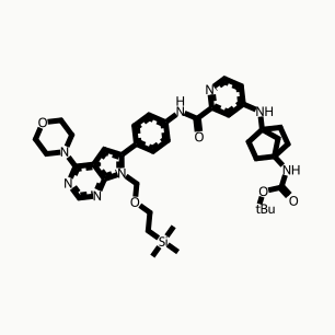 CC(C)(C)OC(=O)NC12CCC(Nc3ccnc(C(=O)Nc4ccc(-c5cc6c(N7CCOCC7)ncnc6n5COCC[Si](C)(C)C)cc4)c3)(CC1)C2